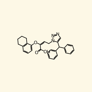 O=C(O)C(=CCn1nncc1C(c1ccccc1)c1ccccc1)Oc1cccc2c1CCCC2